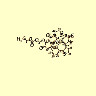 CCOC(=O)OCOc1c2n(ccc1=O)N(C1c3ccccc3-c3sccc3-c3c1ccc(F)c3F)C1COCCN1C2=O